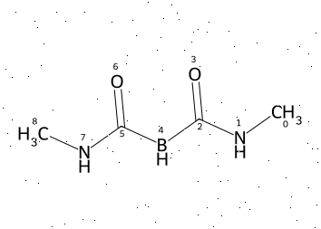 CNC(=O)BC(=O)NC